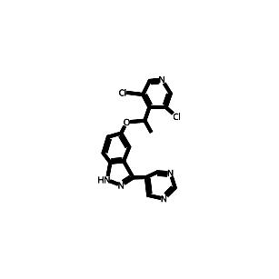 CC(Oc1ccc2[nH]nc(-c3cncnc3)c2c1)c1c(Cl)cncc1Cl